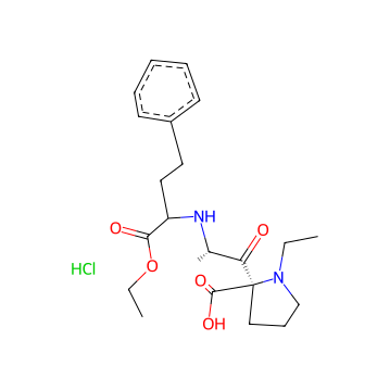 CCOC(=O)C(CCc1ccccc1)N[C@@H](C)C(=O)[C@@]1(C(=O)O)CCCN1CC.Cl